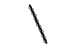 C=CCOCCOCCOCCOCCOCCOCCOCCOCCOCCOCCOCCOCCOCC=C